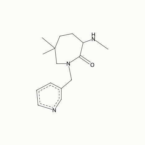 CNC1CCC(C)(C)CN(Cc2cccnc2)C1=O